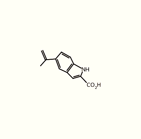 C=C(C)c1ccc2[nH]c(C(=O)O)cc2c1